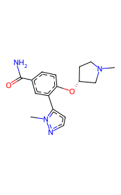 CN1CC[C@@H](Oc2ccc(C(N)=O)cc2-c2ccnn2C)C1